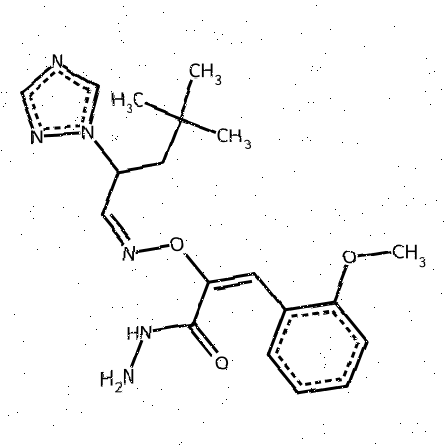 COc1ccccc1C=C(O/N=C\C(CC(C)(C)C)n1cncn1)C(=O)NN